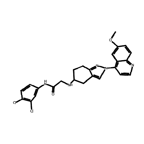 COc1ccc2nccc(-n3cc4c(n3)CCC(NCC(=O)Nc3ccc(Cl)c(Cl)c3)C4)c2c1